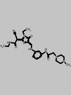 CCNC(=O)C(C#N)=c1sc(=CNc2cccc(NC(=O)CN3CCN(C)CC3)c2)c(=O)n1CC